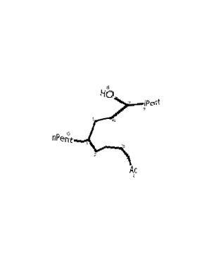 CCCCCC(CCC(C)=O)CCC(O)C(C)CCC